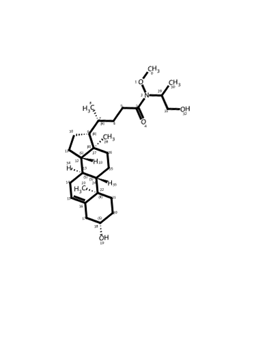 CON(C(=O)CC[C@@H](C)[C@H]1CC[C@H]2[C@@H]3CC=C4C[C@@H](O)CC[C@]4(C)[C@H]3CC[C@]12C)C(C)CO